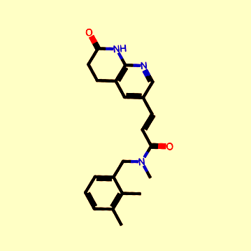 Cc1cccc(CN(C)C(=O)C=Cc2cnc3c(c2)CCC(=O)N3)c1C